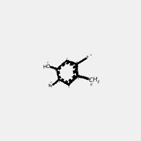 Cc1cc(Br)c(O)cc1F